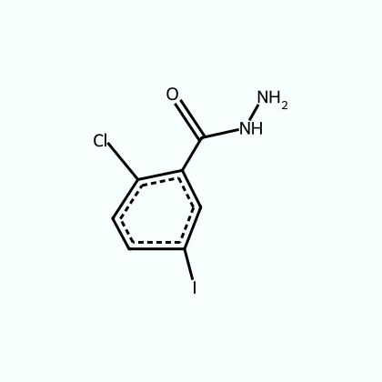 NNC(=O)c1cc(I)ccc1Cl